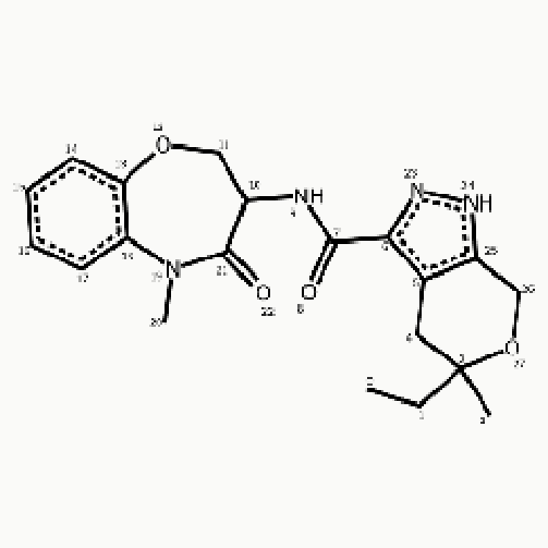 CCC1(C)Cc2c(C(=O)NC3COc4ccccc4N(C)C3=O)n[nH]c2CO1